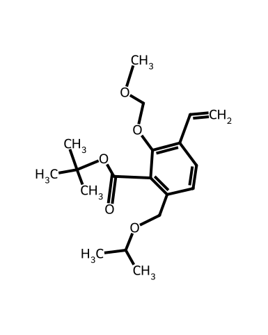 C=Cc1ccc(COC(C)C)c(C(=O)OC(C)(C)C)c1OCOC